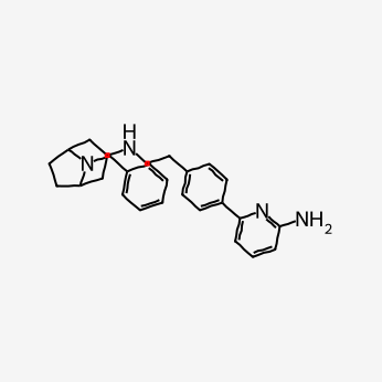 Nc1cccc(-c2ccc(CCNC3CC4CCC(C3)N4Cc3ccccc3)cc2)n1